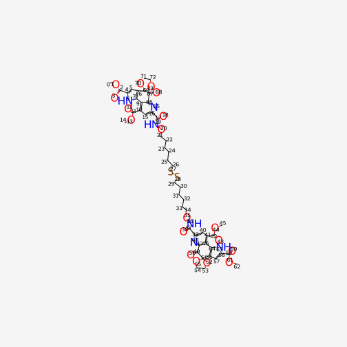 COC(=O)c1cc2c([nH]1)-c1c(C(=O)OC)cc(C(=O)NOCCCCCCSSCCCCCCONC(=O)c3cc(C(=O)OC)c4c(n3)C(=O)C3(OCCO3)c3cc(C(=O)OC)[nH]c3-4)nc1C(=O)C21OCCO1